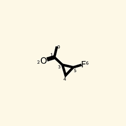 CC(=O)C1CC1F